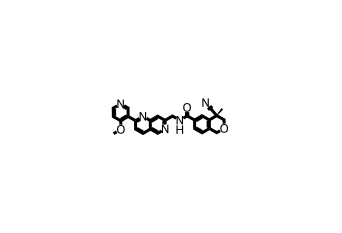 COc1ccncc1-c1ccc2cnc(CNC(=O)c3ccc4c(c3)[C@](C)(C#N)COC4)cc2n1